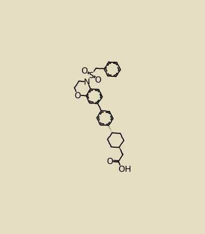 O=C(O)C[C@H]1CC[C@H](c2ccc(-c3ccc4c(c3)OCCN4S(=O)(=O)Cc3ccccc3)cc2)CC1